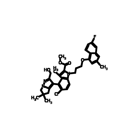 COC(=O)c1c(C)c2c(-c3c(CO)nn4c3CC(C)(C)C4)c(Cl)ccc2n1CCCOc1cc(C)cc2cc(F)ccc12